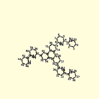 c1ccc(-c2cccc(-c3ccc4c(c3)c3ccc(-c5cccc(-c6ccccn6)n5)cc3c3ccc(-c5cccc(-c6ccccn6)n5)cc43)n2)nc1